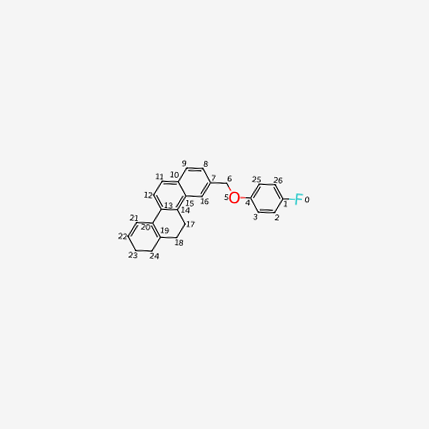 Fc1ccc(OCc2ccc3ccc4c(c3c2)CCC2=C4C=CCC2)cc1